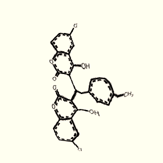 Cc1ccc(C(c2c(O)c3cc(Cl)ccc3oc2=O)c2c(O)c3cc(Cl)ccc3oc2=O)cc1